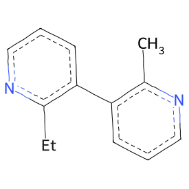 CCc1ncccc1-c1cccnc1C